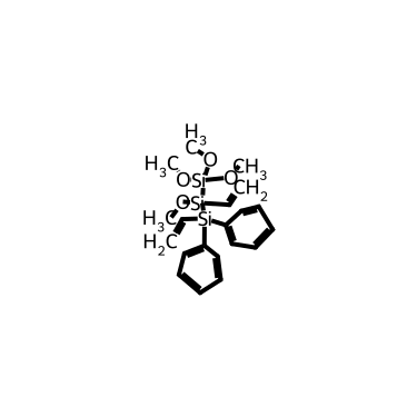 C=C[Si](c1ccccc1)(c1ccccc1)[Si](C=C)(OC)[Si](OC)(OC)OC